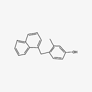 Cc1cc(O)ccc1Cc1cccc2ccccc12